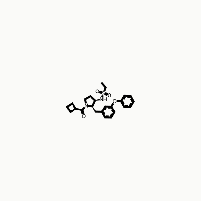 CCS(=O)(=O)N[C@@H]1CCN(C(=O)C2CCC2)[C@@H]1Cc1cccc(Oc2ccccc2)c1